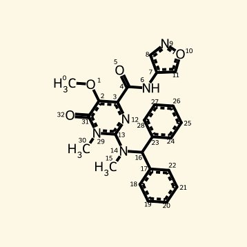 COc1c(C(=O)Nc2cnoc2)nc(N(C)C(c2ccccc2)c2ccccc2)n(C)c1=O